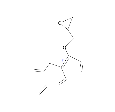 C=C/C=C\C(CC=C)=C(/C=C)OCC1CO1